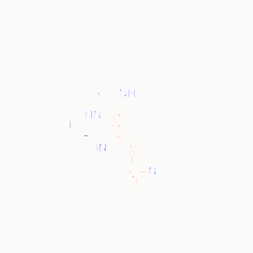 CC(C)C[C@H](NC(=O)CP(=O)(O)C(Cc1ccccc1)NC(=O)c1cccc(F)c1)C(=O)N[C@@H](CCCc1ccccc1)C(N)=O